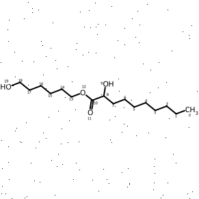 CCCCCCCCC(O)C(=O)OCCCCCCO